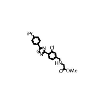 COC(=O)CNCc1ccc(-c2noc(-c3ccc(C(C)C)cc3)n2)c(Cl)c1